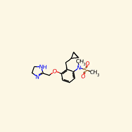 CN(c1cccc(OCC2=NCCN2)c1CC1CC1)S(C)(=O)=O